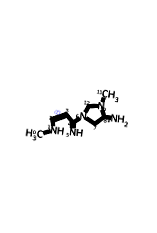 CN/C=C\C(=N)N1CC(N)N(C)C1